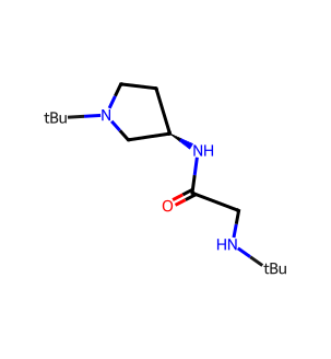 CC(C)(C)NCC(=O)N[C@@H]1CCN(C(C)(C)C)C1